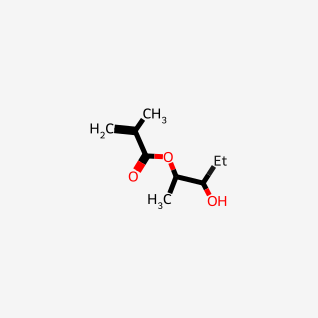 C=C(C)C(=O)OC(C)C(O)CC